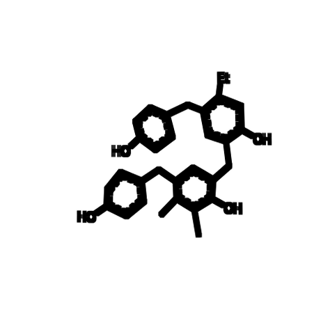 CCc1cc(O)c(Cc2cc(Cc3ccc(O)cc3)c(C)c(C)c2O)cc1Cc1ccc(O)cc1